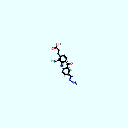 Cc1c(CCC(=O)O)ccc(C(=O)c2cccc(C=NN)c2)c1N